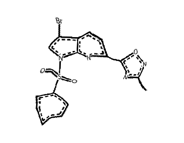 Cc1noc(-c2ccc3c(Br)cn(S(=O)(=O)c4ccccc4)c3n2)n1